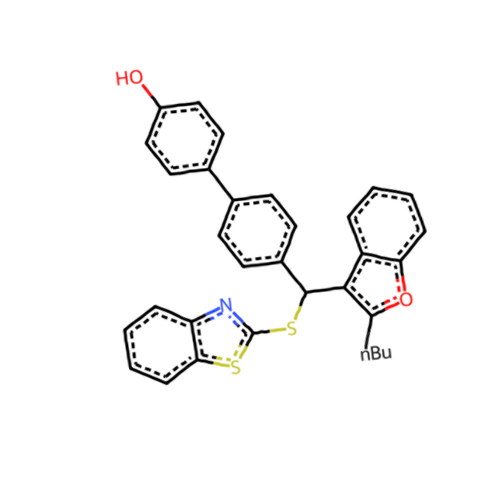 CCCCc1oc2ccccc2c1C(Sc1nc2ccccc2s1)c1ccc(-c2ccc(O)cc2)cc1